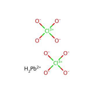 [O-][Cl+3]([O-])([O-])[O-].[O-][Cl+3]([O-])([O-])[O-].[PbH2+2]